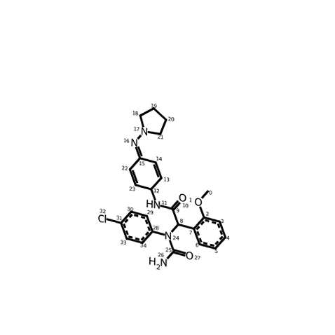 COc1ccccc1C(C(=O)NC1C=CC(=NN2CCCC2)C=C1)N(C(N)=O)c1ccc(Cl)cc1